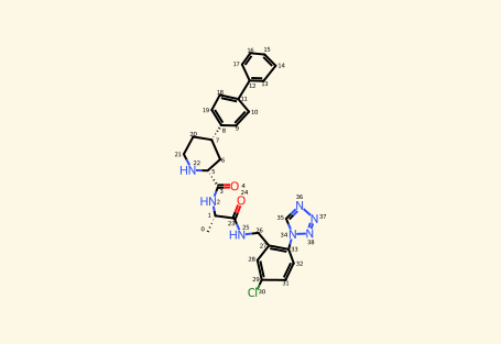 C[C@H](NC(=O)[C@H]1C[C@@H](c2ccc(-c3ccccc3)cc2)CCN1)C(=O)NCc1cc(Cl)ccc1-n1cnnn1